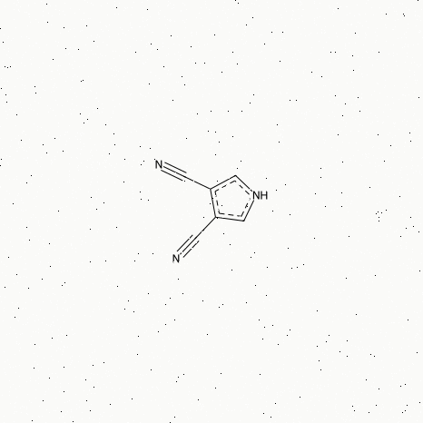 N#Cc1c[nH]cc1C#N